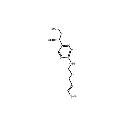 CCCCCCCCCC=CCCCNc1ccc(C(=O)CC(=O)OCC)cc1